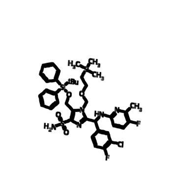 Cc1nc(NC(c2ccc(F)c(Cl)c2)c2nc(S(N)(=O)=O)c(CO[Si](c3ccccc3)(c3ccccc3)C(C)(C)C)n2COCC[Si](C)(C)C)ccc1F